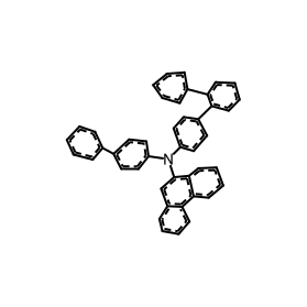 c1ccc(-c2ccc(N(c3ccc(-c4ccccc4-c4ccccc4)cc3)c3cc4ccccc4c4ccccc34)cc2)cc1